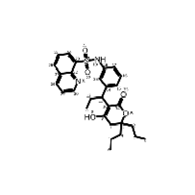 CCCC1(CCC)CC(O)=C(C(CC)c2cccc(NS(=O)(=O)c3cccc4cccnc34)c2)C(=O)O1